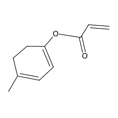 C=CC(=O)OC1=CC=C(C)CC1